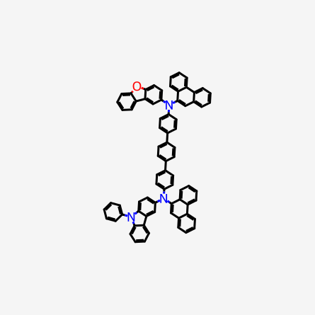 c1ccc(-n2c3ccccc3c3cc(N(c4ccc(-c5ccc(-c6ccc(N(c7ccc8oc9ccccc9c8c7)c7cc8ccccc8c8ccccc78)cc6)cc5)cc4)c4cc5ccccc5c5ccccc45)ccc32)cc1